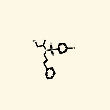 CC(C)CC(C)N(C/C=C/c1ccccc1)S(=O)(=O)c1ccc(Cl)cc1